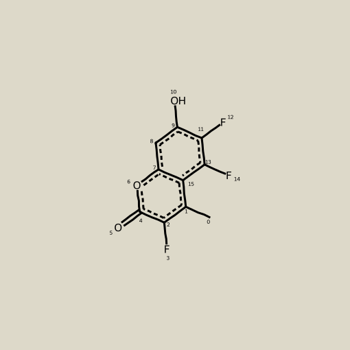 Cc1c(F)c(=O)oc2cc(O)c(F)c(F)c12